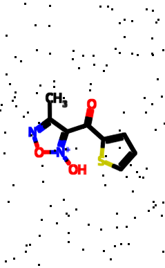 Cc1no[n+](O)c1C(=O)c1cccs1